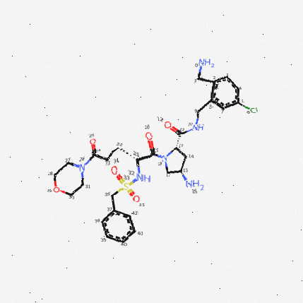 NCc1ccc(Cl)cc1CNC(=O)[C@@H]1C[C@@H](N)CN1C(=O)[C@@H](CCC(=O)N1CCOCC1)NS(=O)(=O)Cc1ccccc1